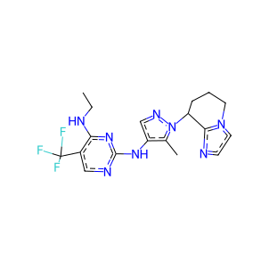 CCNc1nc(Nc2cnn(C3CCCn4ccnc43)c2C)ncc1C(F)(F)F